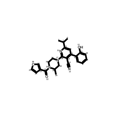 CC(C)c1cc(-c2ccccc2O)c(C#N)c(N2CCN(C(=O)c3ccoc3)C(C)C2)n1